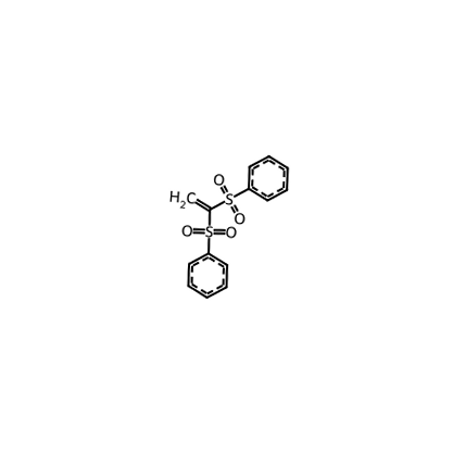 C=C(S(=O)(=O)c1ccccc1)S(=O)(=O)c1ccccc1